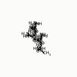 CCCC[C@H](NC(=O)CNC(=O)[C@H](CCCNC(=N)N)NC(=O)CNC(=O)[C@H](CCCNC(=N)N)NC(=O)CNC(=O)[C@H](CCCNC(=N)N)NC(=O)CN)C(=O)O